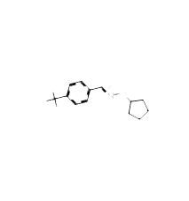 FC(F)(F)c1ccc(/[C]=N/OC2CCCC2)cc1